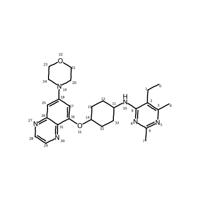 CCc1c(C)nc(C)nc1NC1CCC(Oc2cc(N3CCOCC3)cc3nccnc23)CC1